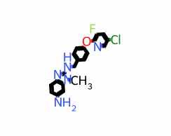 Cn1c(NCc2ccc(Oc3ncc(Cl)cc3F)cc2)nc2ccc(N)cc21